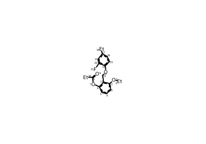 CCOc1cccc(OC(=O)CC)c1COc1ccc(CC)cc1F